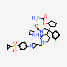 NC(=O)O[C@H]1CCC[C@@H]1C(CNC(=O)[C@H]1CCN1)(c1cccc(F)c1)C1CCN(CC2CN(c3ccc(S(=O)(=O)C4CC4)cc3)C2)CC1